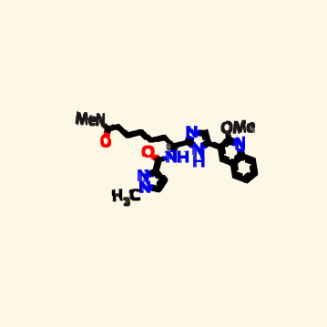 CNC(=O)CCCCC[C@H](NC(=O)c1ccn(C)n1)c1ncc(-c2cc3ccccc3nc2OC)[nH]1